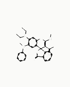 CCN(CC)c1cc2c(cc1N(C)c1ccccc1)C1(OC(=O)c3ccccc31)C(C(C)=N)=C(NC)O2